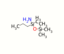 CCC[Si](C)(N)O[Si](C)(C)C